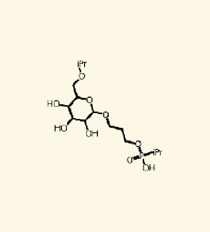 CC(C)OCC1OC(OCCCOP(=O)(O)C(C)C)C(O)C(O)C1O